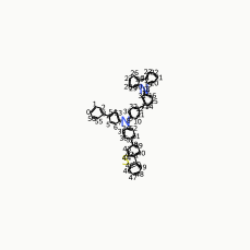 c1ccc(-c2ccc(N(c3ccc(-c4cccc(-n5c6ccccc6c6ccccc65)c4)cc3)c3ccc(-c4ccc5c(c4)sc4ccccc45)cc3)cc2)cc1